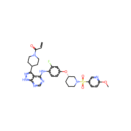 C=CC(=O)N1CCC(c2n[nH]c3ncnc(Nc4ccc(O[C@H]5CCCN(S(=O)(=O)c6ccc(OC)nc6)C5)cc4F)c23)CC1